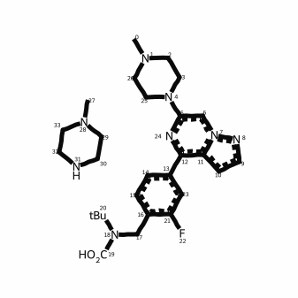 CN1CCN(c2cn3nccc3c(-c3ccc(CN(C(=O)O)C(C)(C)C)c(F)c3)n2)CC1.CN1CCNCC1